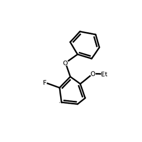 CCOc1cc[c]c(F)c1Oc1ccccc1